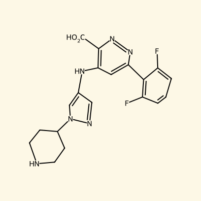 O=C(O)c1nnc(-c2c(F)cccc2F)cc1Nc1cnn(C2CCNCC2)c1